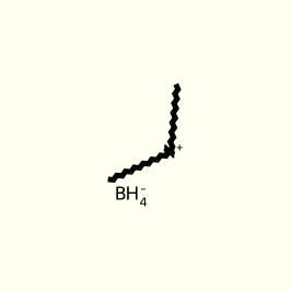 CCCCCCCCCCCCCC[N+](C)(C)CCCCCCCCCCCCCC.[BH4-]